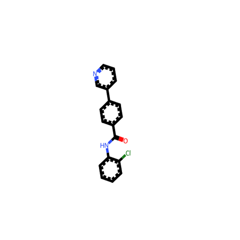 O=C(Nc1ccccc1Cl)c1ccc(-c2cccnc2)cc1